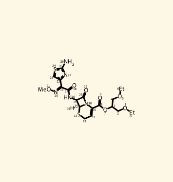 CCOCC(COCC)OC(=O)C1=CCS[C@H]2C(NC(=O)C(=NOC)c3csc(N)n3)C(=O)N12